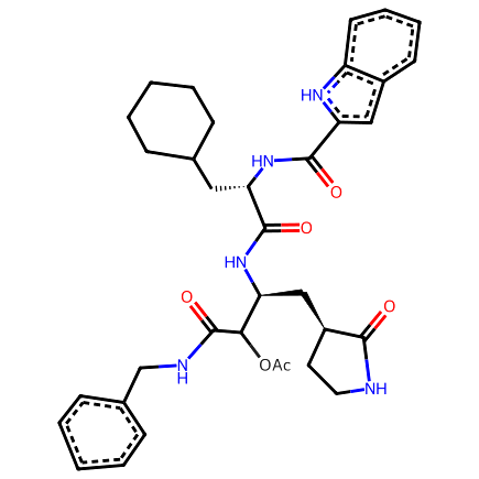 CC(=O)OC(C(=O)NCc1ccccc1)[C@H](C[C@@H]1CCNC1=O)NC(=O)[C@H](CC1CCCCC1)NC(=O)c1cc2ccccc2[nH]1